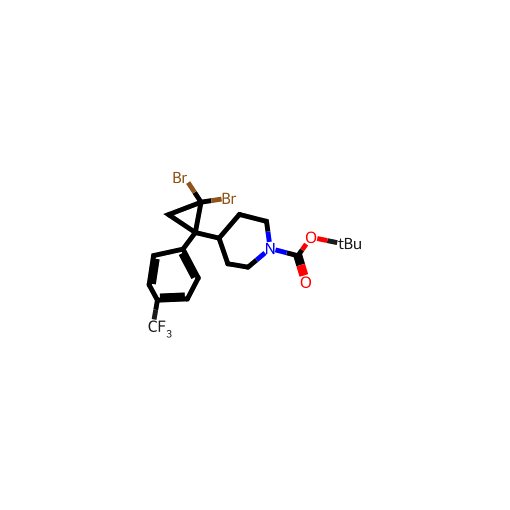 CC(C)(C)OC(=O)N1CCC(C2(c3ccc(C(F)(F)F)cc3)CC2(Br)Br)CC1